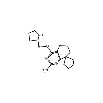 Nc1nc(OC[C@H]2CCCN2)c2c(n1)C1(CCCC1)CCC2